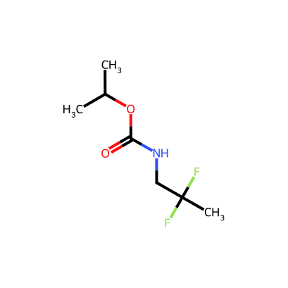 CC(C)OC(=O)NCC(C)(F)F